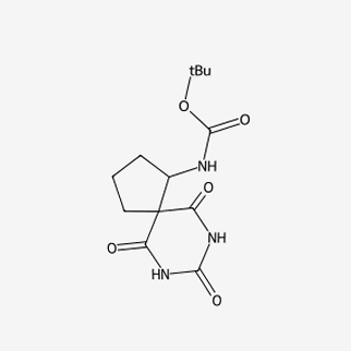 CC(C)(C)OC(=O)NC1CCCC12C(=O)NC(=O)NC2=O